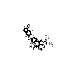 CC(C)n1cc(-c2ccc(Oc3ccc4c(c3)CCC4=O)cc2)c2c(N)ncnc21